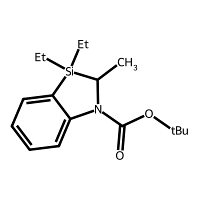 CC[Si]1(CC)c2ccccc2N(C(=O)OC(C)(C)C)C1C